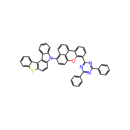 c1ccc(-c2nc(-c3ccccc3)nc(-c3cccc4c3Oc3ccc(-n5c6ccccc6c6c7c(ccc65)sc5ccccc57)c5cccc-4c35)n2)cc1